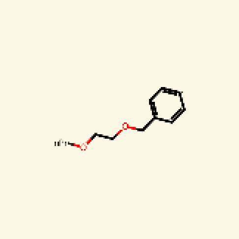 CCCOCCOCc1cc[c]cc1